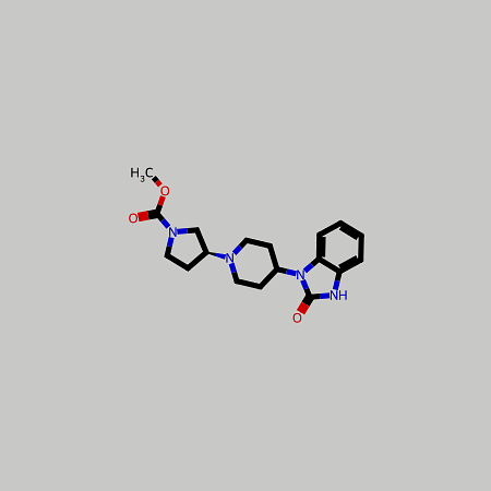 COC(=O)N1CC[C@H](N2CCC(n3c(=O)[nH]c4ccccc43)CC2)C1